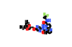 CC1(C)OCC(COc2cnc(NC(=O)N3c4nc(C(=O)NC5CC5(F)F)ccc4N4CC[C@H]3C4)cn2)O1